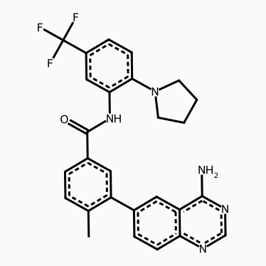 Cc1ccc(C(=O)Nc2cc(C(F)(F)F)ccc2N2CCCC2)cc1-c1ccc2ncnc(N)c2c1